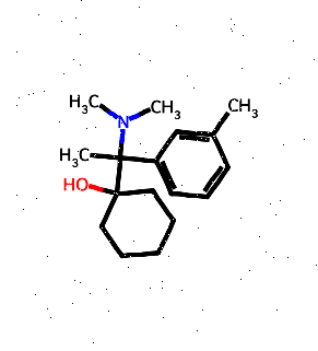 Cc1cccc(C(C)(N(C)C)C2(O)CCCCC2)c1